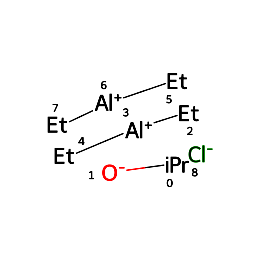 CC(C)[O-].C[CH2][Al+][CH2]C.C[CH2][Al+][CH2]C.[Cl-]